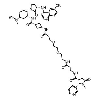 CC(C)N(C)[C@@H]1CC[C@H](N2CC[C@H](Nc3ncnc4ccc(C(F)(F)F)cc34)C2=O)[C@H](NC(=O)[C@H]2C[C@@H](NC(=O)CCOCCOCCNC(=O)CCNC(=O)[C@H]3CC(=O)N(C)[C@@H]3c3cccnc3)C2)C1